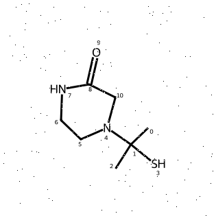 CC(C)(S)N1CCNC(=O)C1